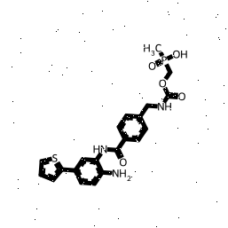 CP(=O)(O)COC(=O)NCc1ccc(C(=O)Nc2cc(-c3cccs3)ccc2N)cc1